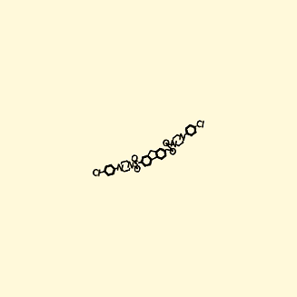 O=S(=O)(c1ccc2c(c1)Cc1cc(S(=O)(=O)N3CCN(c4ccc(Cl)cc4)CC3)ccc1-2)N1CCN(c2ccc(Cl)cc2)CC1